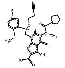 COc1ccc(F)cc1[C@H](Cn1c(=O)n([C@@H](C)C(=O)N2CCCC2)c(=O)c2c(C)c(C(=O)O)sc21)OCCC#N